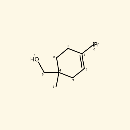 CC(C)C1=CCC(C)(CO)CC1